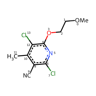 COCCOc1nc(Cl)c(C#N)c(C)c1Cl